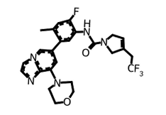 Cc1cc(F)c(NC(=O)N2CC=C(CC(F)(F)F)C2)cc1-c1cc(N2CCOCC2)c2nccn2c1